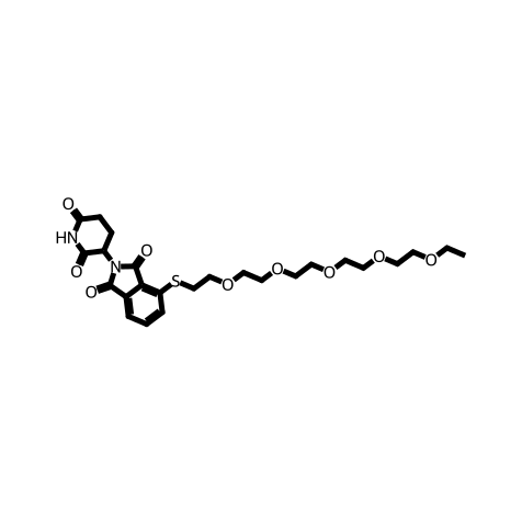 CCOCCOCCOCCOCCOCCSc1cccc2c1C(=O)N(C1CCC(=O)NC1=O)C2=O